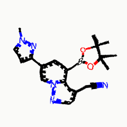 Cn1ccc(-c2cc(B3OC(C)(C)C(C)(C)O3)c3c(C#N)cnn3c2)n1